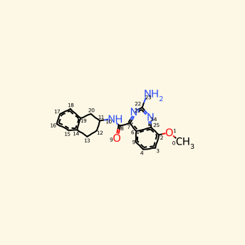 COc1cccc2c(C(=O)NC3CCc4ccccc4C3)nc(N)nc12